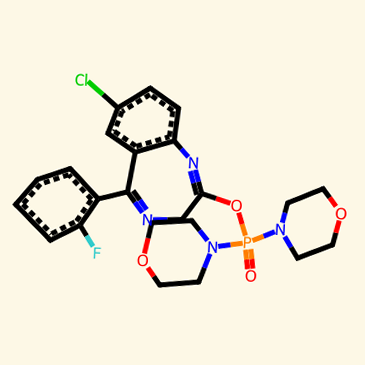 O=P(OC1=Nc2ccc(Cl)cc2C(c2ccccc2F)=NC1)(N1CCOCC1)N1CCOCC1